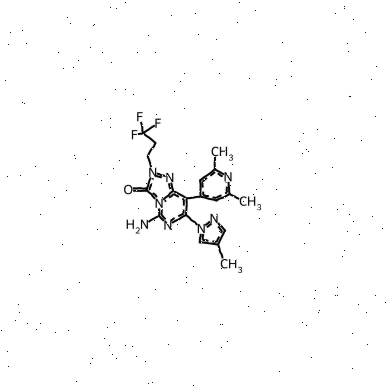 Cc1cnn(-c2nc(N)n3c(=O)n(CCC(F)(F)F)nc3c2-c2cc(C)nc(C)c2)c1